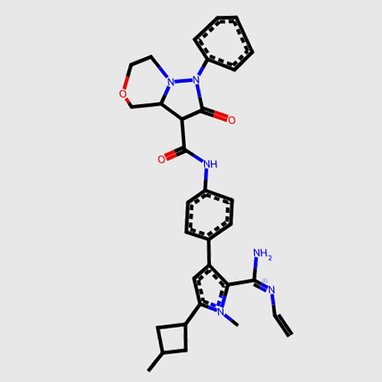 C=C/N=C(/N)c1c(-c2ccc(NC(=O)C3C(=O)N(c4ccccc4)N4CCOCC34)cc2)cc(C2CC(C)C2)n1C